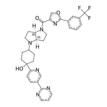 O=C(c1coc(-c2cccc(C(F)(F)F)c2)n1)N1CC[C@@H]2[C@H]1CCN2C1CCC(O)(c2ccc(-c3ncccn3)cn2)CC1